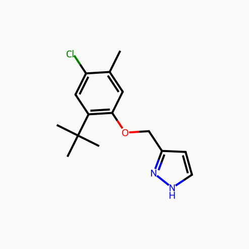 Cc1cc(OCc2cc[nH]n2)c(C(C)(C)C)cc1Cl